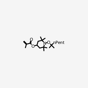 C=C(C)C(=O)OC1CC(C)(C)N(OC(C)(C)CCCCC)C(C)(C)C1